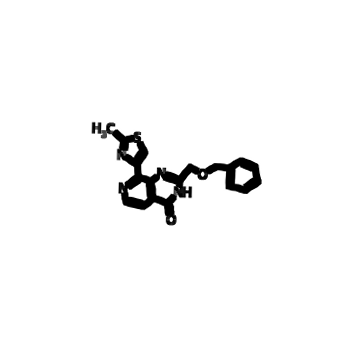 Cc1nc(-c2nccc3c(=O)[nH]c(COCc4ccccc4)nc23)cs1